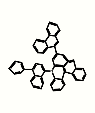 c1ccc(-c2ccc(N(c3cccc(-c4cc5ccccc5c5ccccc45)c3)c3ccccc3-c3cccc4ccccc34)c3ccccc23)cc1